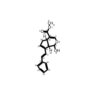 COC(=O)C1=COC(O)[C@@H]2C(C=Cc3ccccc3)=CC[C@H]12